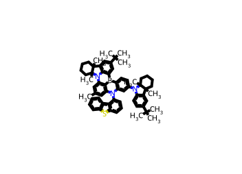 Cc1cc2c3c(c1)N1c4c(cc(C(C)(C)C)cc4C4(C)CCCCC14C)B3c1ccc(N3c4ccc(C(C)(C)C)cc4C4(C)CCCCC34C)cc1N2c1cccc2sc3ccccc3c12